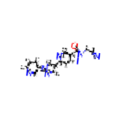 N#CCNC(=O)c1ccc(-c2cnn(-c3cccnc3)c2)nc1